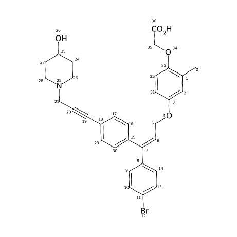 Cc1cc(OCC=C(c2ccc(Br)cc2)c2ccc(C#CCN3CCC(O)CC3)cc2)ccc1OCC(=O)O